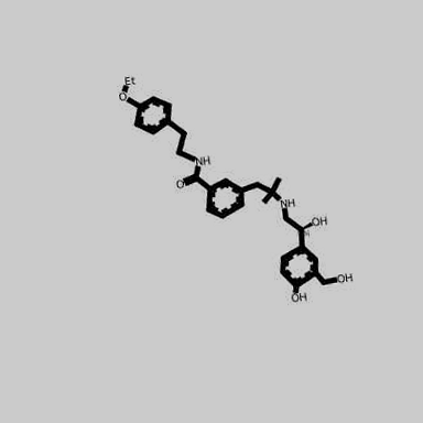 CCOc1ccc(CCNC(=O)c2cccc(CC(C)(C)NC[C@@H](O)c3ccc(O)c(CO)c3)c2)cc1